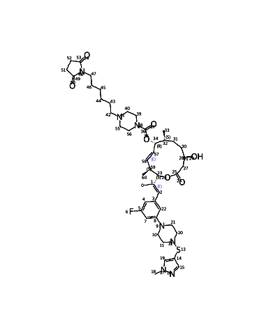 C/C(=C\c1cc(F)cc(N2CCN(Sc3cnn(C)c3)CC2)c1)[C@H]1OC(=O)C[C@H](O)CC[C@H](C)[C@@H](OC(=O)N2CCN(CCCCCCN3C(=O)CCC3=O)CC2)/C=C/[C@@H]1C